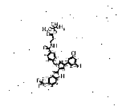 CC(C)(C)OC(=O)CCNC(=O)c1ccc(Cn2nc(-c3cc(Cl)cc(Cl)c3)cc2-c2nc3cc(OC(F)(F)F)ccc3[nH]2)cc1